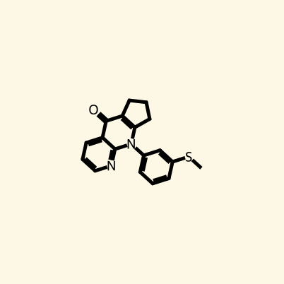 CSc1cccc(-n2c3c(c(=O)c4cccnc42)CCC3)c1